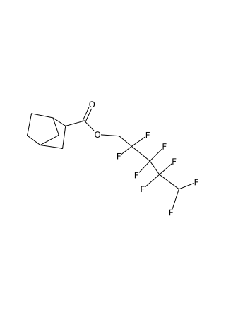 O=C(OCC(F)(F)C(F)(F)C(F)(F)C(F)F)C1CC2CCC1C2